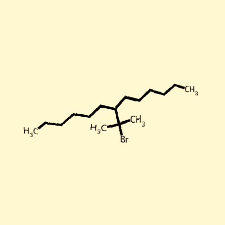 CCCCCCC(CCCCCC)C(C)(C)Br